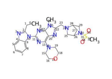 CCc1nc2ccccc2n1-c1nc(N2CCOCC2)c2nc(CN3CC4CC3CN4S(C)(=O)=O)n(C)c2n1